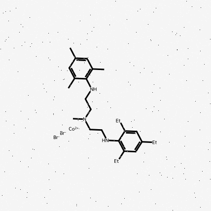 CCc1cc(CC)c(NCCN(C)CCNc2c(C)cc(C)cc2C)c(CC)c1.[Br-].[Br-].[Co+2]